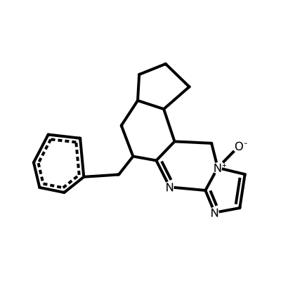 [O-][N+]12C=CN=C1N=C1C(Cc3ccccc3)CC3CCCC3C1C2